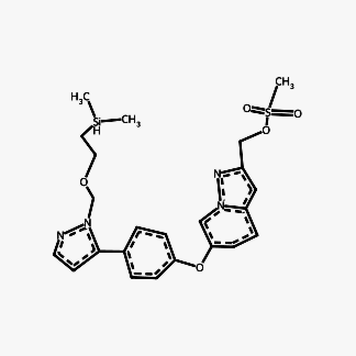 C[SiH](C)CCOCn1nccc1-c1ccc(Oc2ccc3cc(COS(C)(=O)=O)nn3c2)cc1